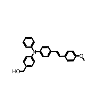 COc1ccc(C=Cc2ccc(N(c3ccccc3)c3ccc(CO)cc3)cc2)cc1